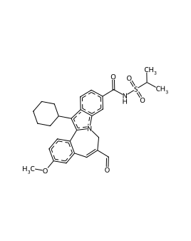 COc1ccc2c(c1)C=C(C=O)Cn1c-2c(C2CCCCC2)c2ccc(C(=O)NS(=O)(=O)C(C)C)cc21